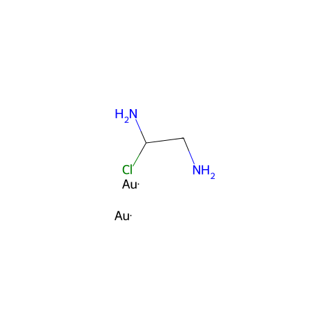 NCC(N)Cl.[Au].[Au]